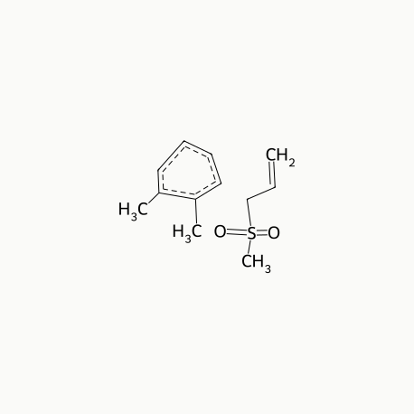 C=CCS(C)(=O)=O.Cc1ccccc1C